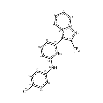 FC(F)(F)c1nc2ccccn2c1-c1cccc(Nc2ccc(Cl)cc2)n1